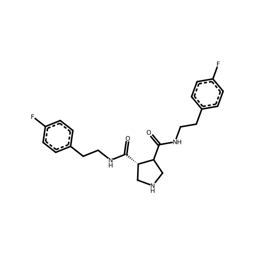 O=C(NCCc1ccc(F)cc1)C1CNC[C@@H]1C(=O)NCCc1ccc(F)cc1